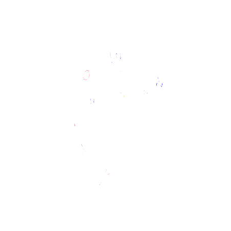 COc1ccc(C2(OC)CN(C(=O)c3sc4nnc(C)c(C)c4c3N)C2)cc1